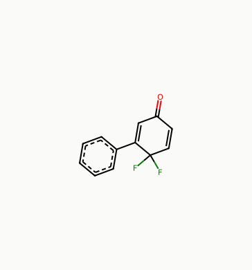 O=C1C=CC(F)(F)C(c2ccccc2)=C1